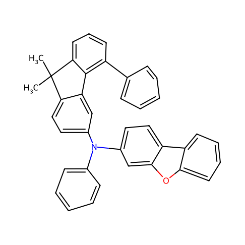 CC1(C)c2ccc(N(c3ccccc3)c3ccc4c(c3)oc3ccccc34)cc2-c2c(-c3ccccc3)cccc21